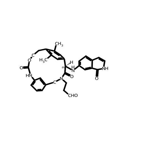 Cc1cc2cc(C)c1CCOC(=O)Nc1cccc(c1)CN(CCC=O)C(=O)[C@@H]2Nc1ccc2cc[nH]c(=O)c2c1